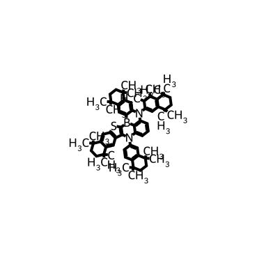 CC1C(N2c3cc4c(cc3B3c5sc6cc7c(cc6c5N(c5ccc6c(c5)C(C)(C)CCC6(C)C)c5cccc2c53)C(C)(C)CCC7(C)C)C(C)(C)CCC4(C)C)=CC2=C(C1C)C(C)(C)CCC2(C)C